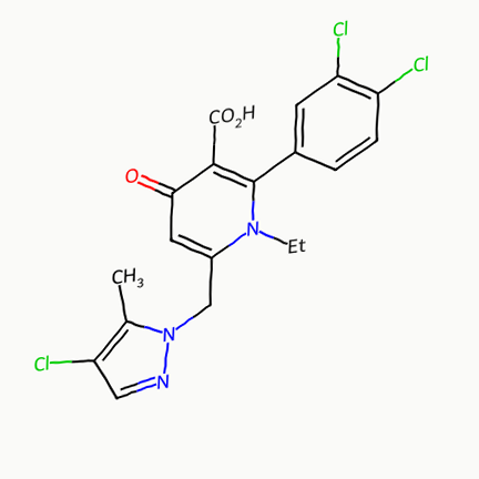 CCn1c(Cn2ncc(Cl)c2C)cc(=O)c(C(=O)O)c1-c1ccc(Cl)c(Cl)c1